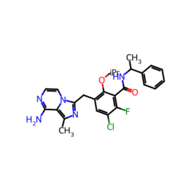 Cc1nc(Cc2cc(Cl)c(F)c(C(=O)NC(C)c3ccccc3)c2OC(C)C)n2ccnc(N)c12